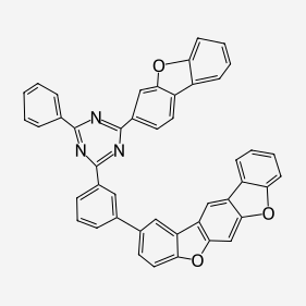 c1ccc(-c2nc(-c3cccc(-c4ccc5oc6cc7oc8ccccc8c7cc6c5c4)c3)nc(-c3ccc4c(c3)oc3ccccc34)n2)cc1